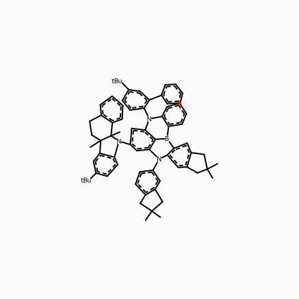 CC1(C)Cc2ccc(N3c4cc5c(cc4B4c6ccccc6N(c6ccc(C(C)(C)C)cc6-c6ccccc6)c6cc(N7c8ccc(C(C)(C)C)cc8C8(C)CCc9ccccc9C78C)cc3c64)CC(C)(C)C5)cc2C1